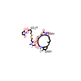 COc1cc2cc(c1Cl)N(C)C(=O)C[C@H](OC(=O)[C@H](C)N(C)C(=O)CCSSCCC(C(=O)ON1C(=O)CCC1=O)S(=O)(=O)O)[C@]1(C)O[C@H]1[C@H](C)[C@@H]1C[C@@](O)(NC(=O)O1)[C@H](OC)/C=C/C=C(\C)C2